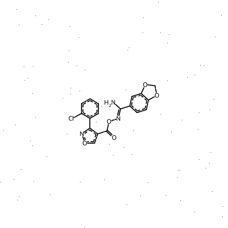 N/C(=N\OC(=O)c1conc1-c1ccccc1Cl)c1ccc2c(c1)OCO2